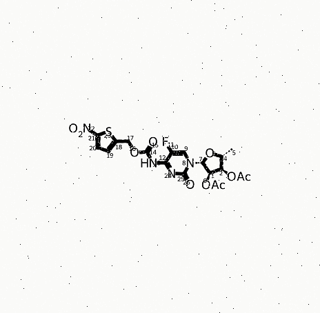 CC(=O)O[C@@H]1[C@H](OC(C)=O)[C@@H](C)O[C@H]1n1cc(F)c(NC(=O)OCc2ccc([N+](=O)[O-])s2)nc1=O